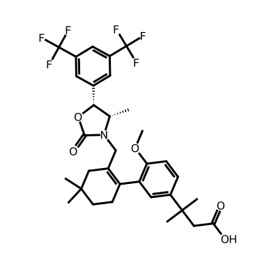 COc1ccc(C(C)(C)CC(=O)O)cc1C1=C(CN2C(=O)O[C@H](c3cc(C(F)(F)F)cc(C(F)(F)F)c3)[C@@H]2C)CC(C)(C)CC1